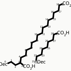 CCCCCCCCCCCCC(CCCCCCCCCCCCCCCC(=O)O)C(=O)O.CCCCCCCCCCCCCCCCCC(=O)O